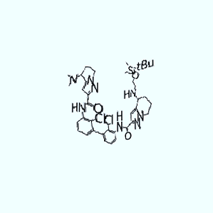 CN(C)[C@H]1CCCn2nc(C(=O)Nc3cccc(-c4cccc(NC(=O)c5cc6n(n5)CCC[C@@H]6NCCO[Si](C)(C)C(C)(C)C)c4Cl)c3Cl)cc21